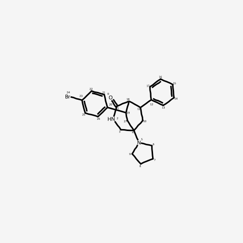 O=C1NCC2(N3CCCC3)CC(c3ccccc3)C1C(c1ccc(Br)cc1)C2